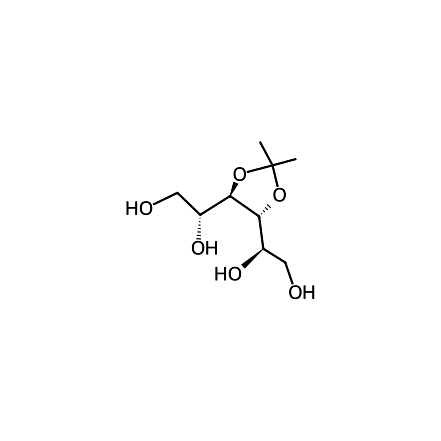 CC1(C)O[C@H]([C@H](O)CO)[C@@H]([C@H](O)CO)O1